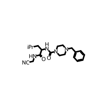 CC(C)CC(NC(=O)N1CCN(Cc2ccccc2)CC1)C(=O)NCC#N